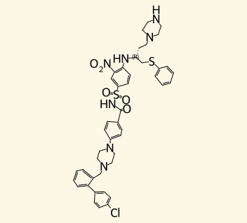 O=C(NS(=O)(=O)c1ccc(N[C@H](CCN2CCNCC2)CSc2ccccc2)c([N+](=O)[O-])c1)c1ccc(N2CCN(Cc3ccccc3-c3ccc(Cl)cc3)CC2)cc1